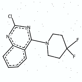 FC1(F)CCN(c2nc(Cl)nc3ccccc23)CC1